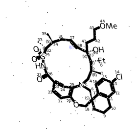 CC[C@@H]1[C@@H](C)CN2C[C@@]3(CCCc4cc(Cl)ccc43)COc3ccc(cc32)C(=O)NS(=O)(=O)[C@H](C)[C@@H](C)C/C=C/[C@@]1(O)CCCOC